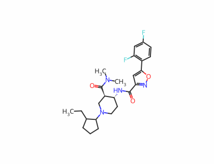 CCC1CCCC1N1CC[C@@H](NC(=O)c2cc(-c3ccc(F)cc3F)on2)[C@H](C(=O)N(C)C)C1